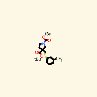 CC(C)(C)OC(=O)N1CCC(CSc2cccc(C(F)(F)F)c2)(C(=O)OC(C)(C)C)C1